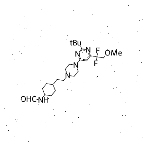 COCC(F)(F)c1cc(N2CCN(CCC3CCC(NC=O)CC3)CC2)nc(C(C)(C)C)n1